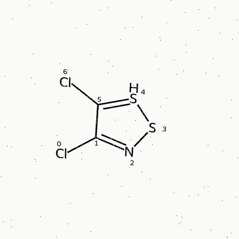 ClC1=NS[SH]=C1Cl